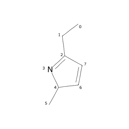 CCC1=NC(C)C=C1